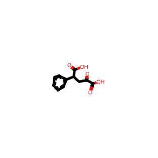 O=C(O)C(=O)CC(C(=O)O)c1ccccc1